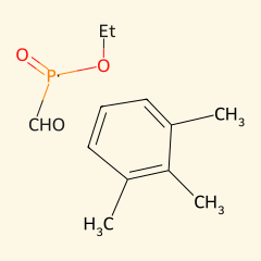 CCO[P](=O)C=O.Cc1cccc(C)c1C